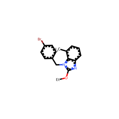 CCOc1nc2cccc(C)c2n1Cc1ccc(Br)cc1